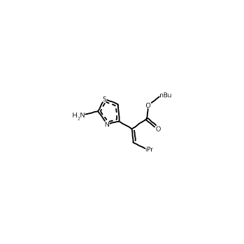 CCCCOC(=O)C(=CC(C)C)c1csc(N)n1